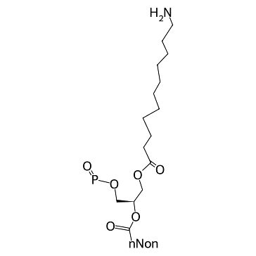 CCCCCCCCCC(=O)O[C@@H](COP=O)COC(=O)CCCCCCCCCCN